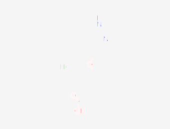 Cl.O=C(O)C1CCc2ccc(OCCc3c[nH]cn3)cc21